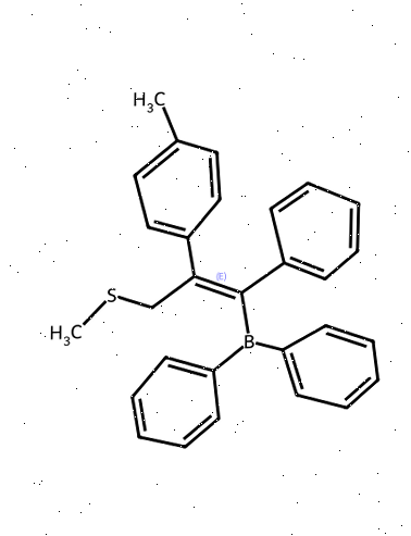 CSC/C(=C(\B(c1ccccc1)c1ccccc1)c1ccccc1)c1ccc(C)cc1